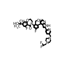 CC(C)(O)c1cc(F)c2c(c1)OCCN(c1cc(F)cc(-c3ccnc4[nH]c(-c5ccc(CN6CCN(CC(F)F)CC6)cn5)cc34)c1CO)C2=O